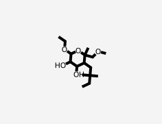 CCOC1OC(C)(COC)C(CC(C)(C)CC)C(O)C1O